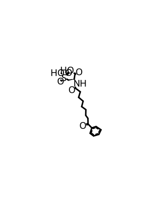 O=C(CCCCCCCC(=O)c1ccccc1)N[C@@H](CS(=O)(=O)O)C(=O)O